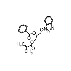 C=C(C)C(=O)OCC(COn1nnc2ccccc21)OC(=O)c1ccccc1